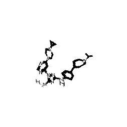 CC(C)N1CCC(c2ccc(Nc3nc(N)n(-c4cc(N5CCN(C6CC6)CC5)ncn4)n3)cc2)CC1